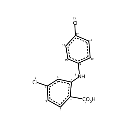 O=C(O)c1ccc(Cl)cc1Nc1ccc(Cl)cc1